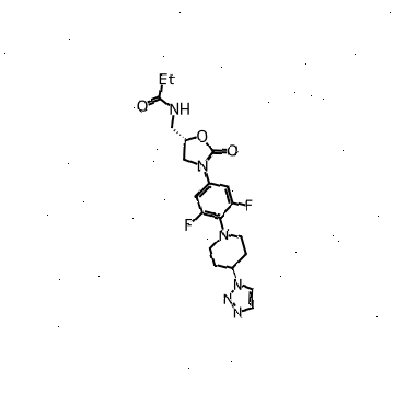 CCC(=O)NC[C@H]1CN(c2cc(F)c(N3CCC(n4ccnn4)CC3)c(F)c2)C(=O)O1